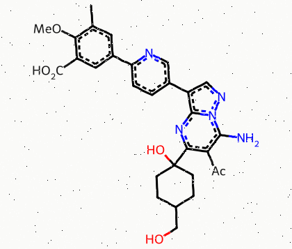 COc1c(C)cc(-c2ccc(-c3cnn4c(N)c(C(C)=O)c(C5(O)CCC(CO)CC5)nc34)cn2)cc1C(=O)O